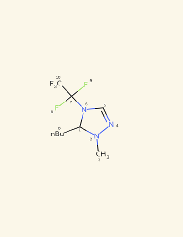 CCCCC1N(C)N=CN1C(F)(F)C(F)(F)F